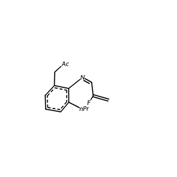 C=C(F)/C=N\c1c(CCC)cccc1CC(C)=O